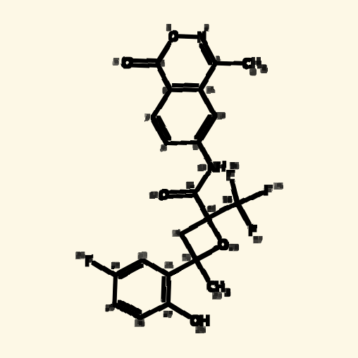 Cc1noc(=O)c2ccc(NC(=O)C3(C(F)(F)F)CC(C)(c4cc(F)ccc4O)O3)cc12